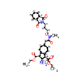 CCOC(=O)c1c2ccc(CC(=O)N(C)OCCCN3C(=O)c4ccccc4C3=O)ccc-2c(C(=O)OCC)c1N